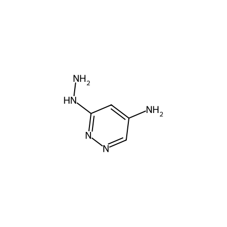 NNc1cc(N)cnn1